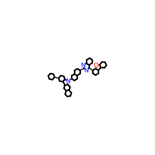 c1ccc(-c2ccc3c(c2)c2cc4ccccc4cc2n3-c2ccc3cc(-c4nc(-c5cccc6c5oc5ccccc56)c5ccccc5n4)ccc3c2)cc1